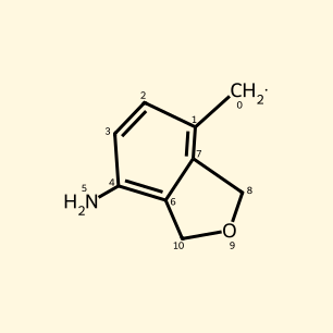 [CH2]c1ccc(N)c2c1COC2